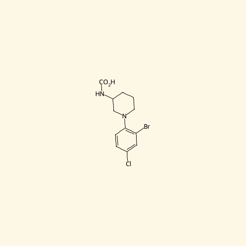 O=C(O)NC1CCCN(c2ccc(Cl)cc2Br)C1